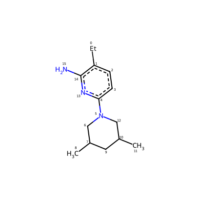 CCc1ccc(N2CC(C)CC(C)C2)nc1N